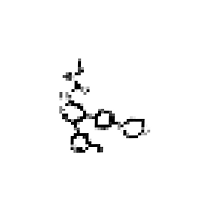 CCNC(=O)Nc1cc(-c2ccc(N3CCOCC3)cc2)c(-c2cncc(C=O)c2)cn1